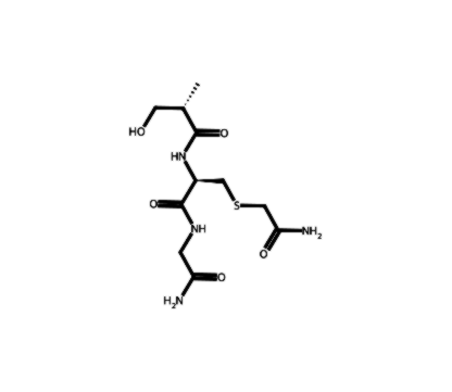 C[C@@H](CO)C(=O)N[C@@H](CSCC(N)=O)C(=O)NCC(N)=O